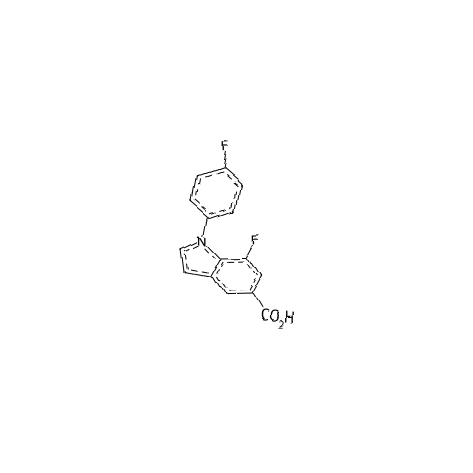 O=C(O)c1cc(F)c2c(ccn2-c2ccc(F)cc2)c1